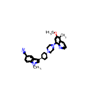 COc1cc(N2CCN([C@H]3CC[C@H](c4cn(C)c5ccc(C#N)cc54)CC3)CC2)c2ncccc2c1C